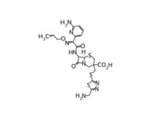 C=CCON=C(C(=O)NC1C(=O)N2CC(CSc3nnc(CN)s3)(C(=O)O)CS[C@H]12)c1cccc(N)n1